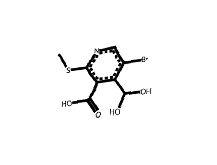 CSc1ncc(Br)c(C(O)O)c1C(=O)O